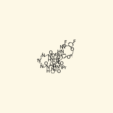 CC(C)[C@H](NC(=O)[C@@H]1CCCN1C(=O)[C@H](CC(N)=O)NC(=O)CN(C)CCN(C)CCN(C)CCNC(=O)OC(C)(C)C)C(=O)N=S(C)(=O)Cc1cc2cc(c1)O[C@@H](C)CCOc1cc(F)ccc1-c1nc(ncc1F)N2